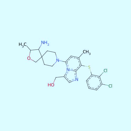 Cc1cc(N2CCC3(CC2)COC(C)C3N)n2c(CO)cnc2c1Sc1cccc(Cl)c1Cl